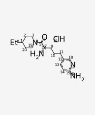 CCC1CCN(C(=O)[C@@H](N)CCCc2ccc(N)nc2)CC1.Cl